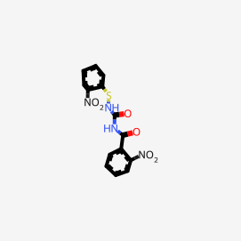 O=C(NSc1ccccc1[N+](=O)[O-])NC(=O)c1ccccc1[N+](=O)[O-]